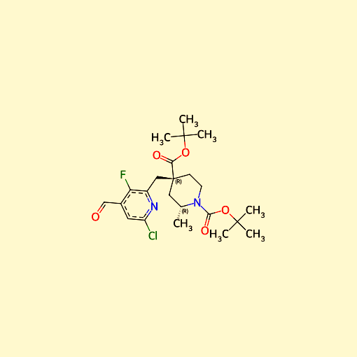 C[C@@H]1C[C@](Cc2nc(Cl)cc(C=O)c2F)(C(=O)OC(C)(C)C)CCN1C(=O)OC(C)(C)C